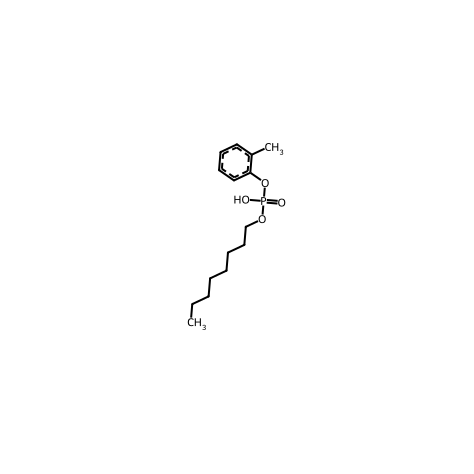 CCCCCCCCOP(=O)(O)Oc1ccccc1C